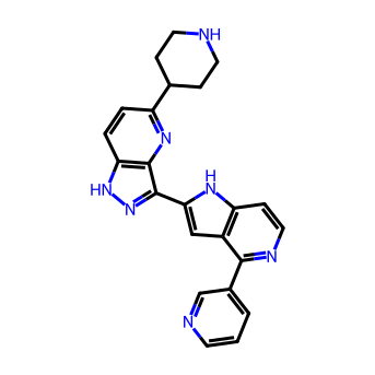 c1cncc(-c2nccc3[nH]c(-c4n[nH]c5ccc(C6CCNCC6)nc45)cc23)c1